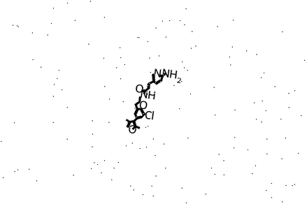 Cc1coc(C)c1-c1cc(Cl)c2c(c1)CC(CNC(=O)/C=C/c1ccc(N)nc1)O2